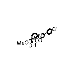 COCC(CO)n1cccc(N2C[C@@H](c3ccc(Cl)cc3)CC2=O)c1=O